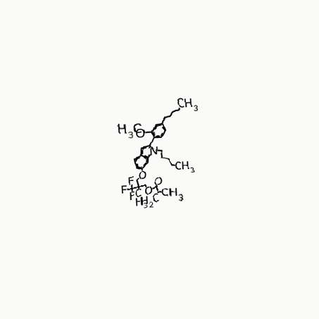 C=C(C)C(=O)OCC(C)(COc1ccc2cc(-c3ccc(CCCCC)cc3OC)n(CCCCC)c2c1)C(F)(F)F